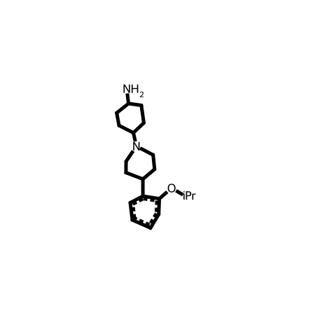 CC(C)Oc1ccccc1C1CCN(C2CCC(N)CC2)CC1